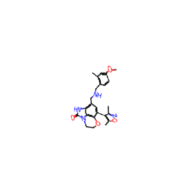 COc1ccc(CNCc2cc(-c3c(C)noc3C)c3c4c2[nH]c(=O)n4CCO3)c(C)c1